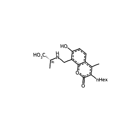 CCCCCCc1c(C)c2ccc(O)c(CN[C@H](C)C(=O)O)c2oc1=O